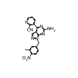 Cc1cc(Cn2ncc3c(-c4cccnc4C#N)nc(N)nc32)ccc1[N+](=O)[O-]